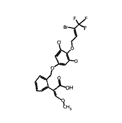 COC=C(C(=O)O)c1ccccc1COc1cc(Cl)c(OCC=C(Br)C(F)(F)F)c(Cl)c1